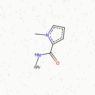 CCCNC(=O)c1cccn1C